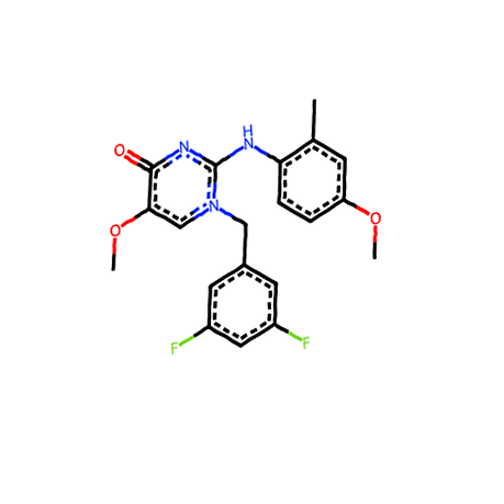 COc1ccc(Nc2nc(=O)c(OC)cn2Cc2cc(F)cc(F)c2)c(C)c1